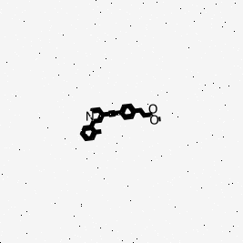 COC(=O)CCc1ccc(C#Cc2ccnc(-c3ccccc3C)c2)cc1